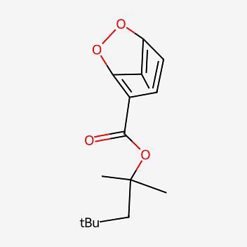 Cc1c2ccc(C(=O)OC(C)(C)CC(C)(C)C)c1OO2